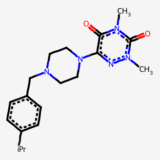 CC(C)c1ccc(CN2CCN(c3nn(C)c(=O)n(C)c3=O)CC2)cc1